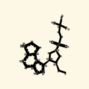 CC[C@@H]1CN(S(=O)(=O)CCC(F)(F)F)C[C@@H]1c1nnc2cnc3[nH]ccc3n12